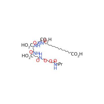 CCCNC(=O)COCCOCCNC(=O)CC[C@H](NC(=O)CC[C@H](NC(=O)CC[C@H](NC(=O)CCCCCCCCCCCCCCCCC(=O)O)C(=O)O)C(=O)O)C(=O)O